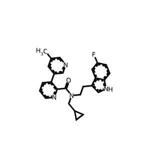 Cc1cncc(-c2cccnc2C(=O)N(CCc2c[nH]c3ccc(F)cc23)CC2CC2)c1